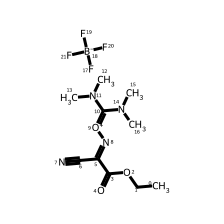 CCOC(=O)C(C#N)=N[O+]=C(N(C)C)N(C)C.F[B-](F)(F)F